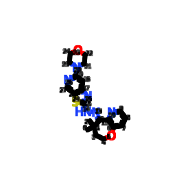 CC1(C)CCOc2cccnc2/C1=N/Nc1nc2cc(N3CCOCC3)ncc2s1